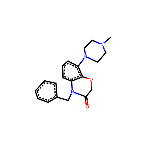 CN1CCN(c2cccc3c2OCC(=O)N3Cc2ccccc2)CC1